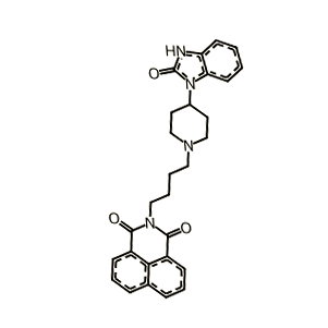 O=C1c2cccc3cccc(c23)C(=O)N1CCCCN1CCC(n2c(=O)[nH]c3ccccc32)CC1